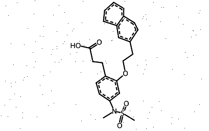 CN(c1ccc(CCC(=O)O)c(OCCc2ccc3ccccc3c2)c1)S(C)(=O)=O